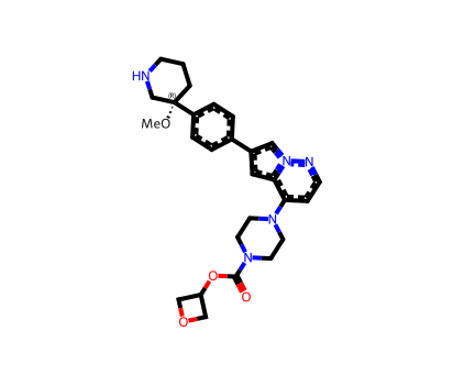 CO[C@@]1(c2ccc(-c3cc4c(N5CCN(C(=O)OC6COC6)CC5)ccnn4c3)cc2)CCCNC1